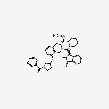 CNC(=O)[C@@H]1CCCCC1C(=O)N1CCc2cccc(OC3CCN(C(=O)c4cccnc4)C3)c2[C@H]1CN1C(=O)c2ccccc2C1=O